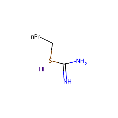 CCCCSC(=N)N.I